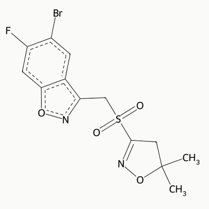 CC1(C)CC(S(=O)(=O)Cc2noc3cc(F)c(Br)cc23)=NO1